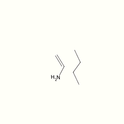 C=CN.CCCC